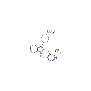 O=C(O)C1CCC(c2c(Cc3c(Cl)ccnc3C(F)(F)F)[nH]c3c2CCCC3)CC1